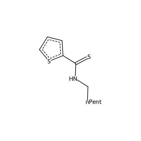 CCCCCCNC(=S)c1cccs1